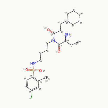 CC(C)C[C@H](N)C(=O)N(CCCCNS(=O)(=O)c1ccc(F)cc1C(F)(F)F)C(=O)CCC1CCCCC1